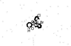 O=C1NCCCC[C@H]1N(Cc1cccc(Br)n1)S(=O)(=O)c1ccc(Cl)cc1